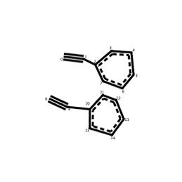 C#Cc1ccccc1.C#Cc1ccccc1